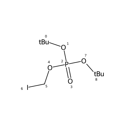 CC(C)(C)OP(=O)(OCI)OC(C)(C)C